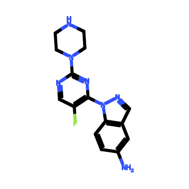 Nc1ccc2c(cnn2-c2nc(N3CCNCC3)ncc2F)c1